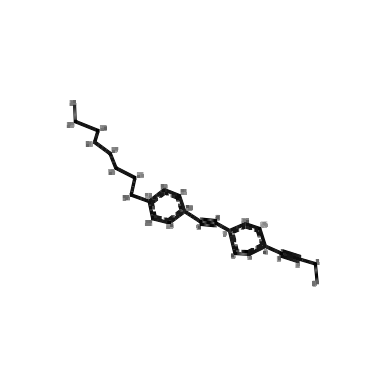 CCC#Cc1ccc(C#Cc2ccc(CCCCCCCC)cc2)cc1